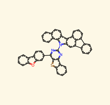 c1ccc2c(c1)-c1cccc3c1c-2cc1c3c2ccc3ccccc3c2n1-c1nc(-c2ccc3c(c2)oc2ccccc23)c2sc3ccccc3c2n1